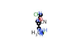 Cn1ncc(F)c1Nc1cc(-c2cc(C#N)c3c(c2)CCN3C(=O)Cc2cccnc2Cl)ccn1